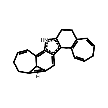 C1=CC2=C(C=CC1)c1c([nH]c3c1=CC1=C4CCC=CC=3[C@@H]14)CC2